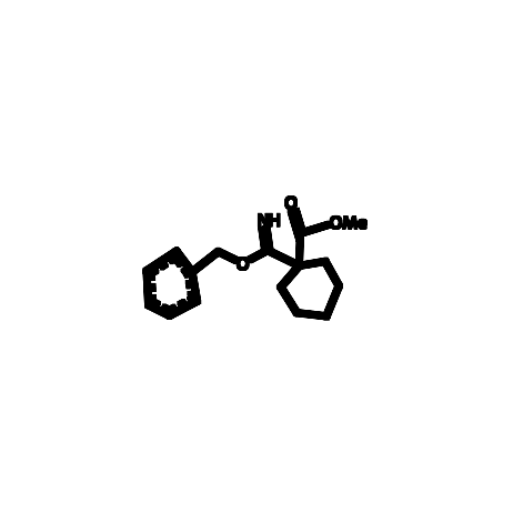 COC(=O)C1(C(=N)OCc2ccccc2)CCCCC1